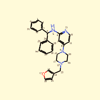 c1ccc(C(Nc2cc(N3CCN(Cc4ccoc4)CC3)ccn2)c2ccccc2)cc1